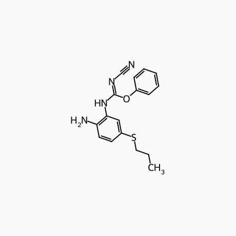 CCCSc1ccc(N)c(N/C(=N/C#N)Oc2ccccc2)c1